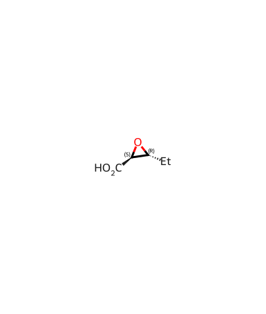 CC[C@H]1O[C@@H]1C(=O)O